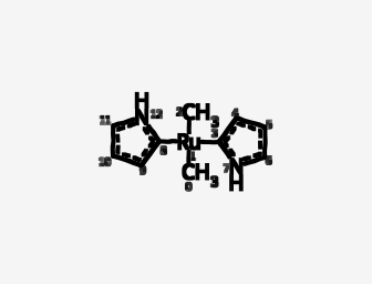 [CH3][Ru]([CH3])([c]1ccc[nH]1)[c]1ccc[nH]1